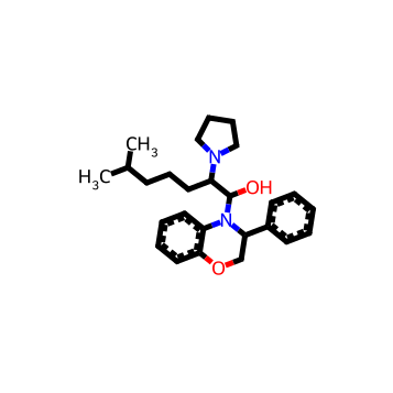 CC(C)CCCC(C(O)N1c2ccccc2OCC1c1ccccc1)N1CCCC1